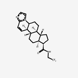 O=C(NCC(F)(F)F)[C@@H]1CC[C@H]2[C@@H]3CCC4[C@H](C=Cc5nccn54)[C@H]3CC[C@@H]21